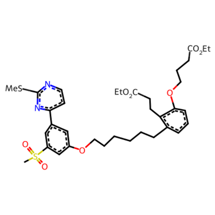 CCOC(=O)CCCOc1cccc(CCCCCCOc2cc(-c3ccnc(SC)n3)cc(S(C)(=O)=O)c2)c1CCC(=O)OCC